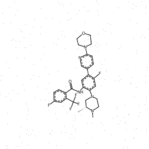 C[C@@H]1CN(c2cc(F)c(-c3ccc(N4CCOCC4)nc3)cc2NC(=O)c2ccc(F)cc2C(F)(F)F)CCN1C